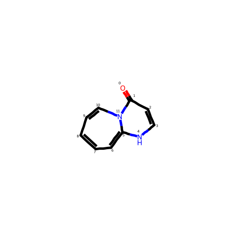 O=C1C=CNC2=CC=CC=CN12